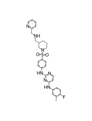 Cc1cc(Nc2ccnc(Nc3ccc(S(=O)(=O)N4CCCC(CNCc5ccccn5)C4)cc3)n2)ccc1F